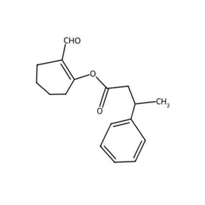 CC(CC(=O)OC1=C(C=O)CCCC1)c1ccccc1